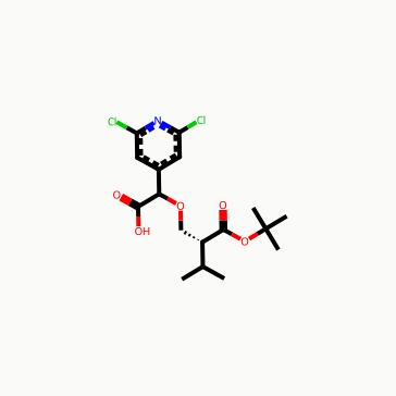 CC(C)[C@H](COC(C(=O)O)c1cc(Cl)nc(Cl)c1)C(=O)OC(C)(C)C